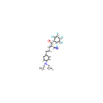 CCN(CC)c1ccc(/C=C/C=C(\C#N)C(=O)c2c(F)c(F)c(F)c(F)c2F)cc1